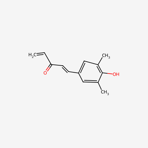 C=CC(=O)C=Cc1cc(C)c(O)c(C)c1